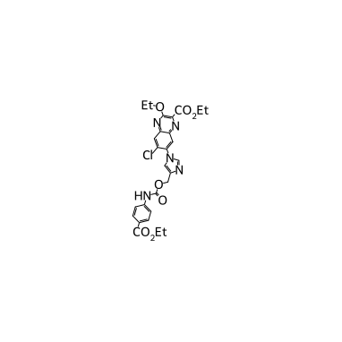 CCOC(=O)c1ccc(NC(=O)OCc2cn(-c3cc4nc(C(=O)OCC)c(OCC)nc4cc3Cl)cn2)cc1